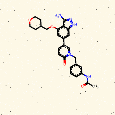 CC(=O)Nc1cccc(Cn2cc(-c3cc(OCC4CCOCC4)c4c(N)n[nH]c4c3)ccc2=O)c1